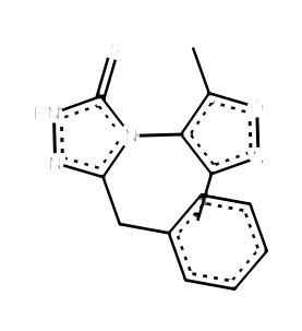 Cc1noc(C)c1-n1c(Cc2ccccc2)n[nH]c1=S